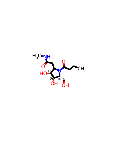 CCCC(=O)N1C(CC(=O)NC)[C@@H](O)[C@H](O)[C@H]1CO